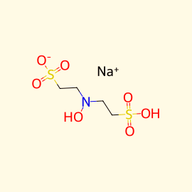 O=S(=O)([O-])CCN(O)CCS(=O)(=O)O.[Na+]